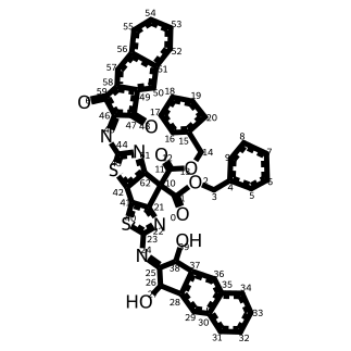 O=C(OCc1ccccc1)C1(C(=O)OCc2ccccc2)c2nc(N=C3C(O)c4cc5ccccc5cc4C3O)sc2-c2sc(N=c3c(=O)c4cc5ccccc5cc4c3=O)nc21